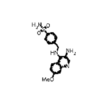 COc1ccc2c(NCc3ccc(S(N)(=O)=O)cc3)c(N)cnc2c1